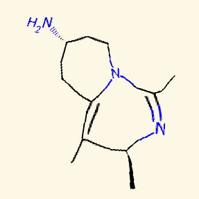 CC1=N[C@@H](C)C(C)=C2C[C@H](N)CN12